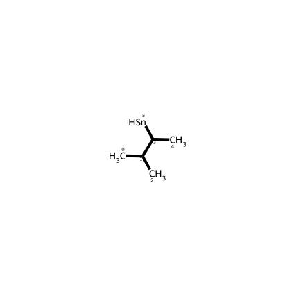 CC(C)[CH](C)[SnH]